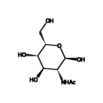 CC(=O)N[C@@H]1[C@@H](O)[C@H](O)[C@H](CO)O[C@H]1O